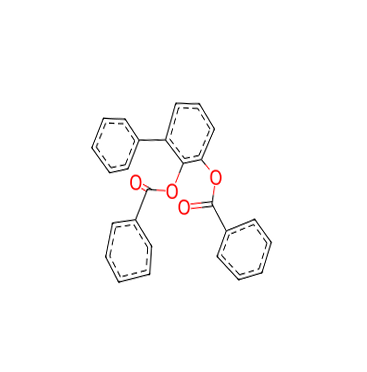 O=C(Oc1cccc(-c2ccccc2)c1OC(=O)c1ccccc1)c1ccccc1